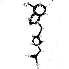 Nc1ncnc2c1ncn2Cc1cn(CC(=O)O)nn1